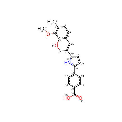 COc1c(C)ccc2c1OCC(c1ccc(-c3ccc(C(=O)O)cc3)[nH]1)=C2